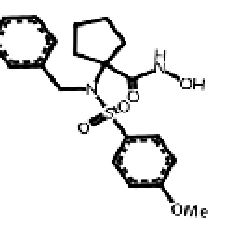 COc1ccc(S(=O)(=O)N(Cc2ccccc2)C2(C(=O)NO)CCCC2)cc1